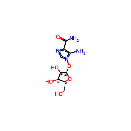 NC(=O)c1ncn(O[C@@H]2O[C@H](CO)[C@@H](O)[C@H]2O)c1N